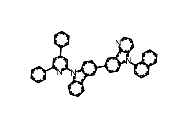 c1ccc(-c2cc(-c3ccccc3)nc(-n3c4ccccc4c4cc(-c5ccc6c(c5)c5ncccc5n6-c5cccc6ccccc56)ccc43)c2)cc1